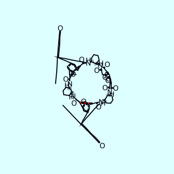 O=C1c2ccc3c4c5ccc(c24)C(=O)N1[C@H]1CCCC[C@@H]1N1C(=O)c2ccc4c6c(ccc(c26)C1=O)C(=O)N(C4=O)[C@H]1CCCC[C@@H]1N1C(=O)c2ccc4c6c(ccc(c26)C1=O)C(=O)N(C4=O)[C@H]1CCCC[C@@H]1N(C3=O)C5=O